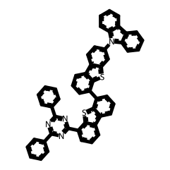 c1ccc(-c2nc(-c3ccccc3)nc(-c3cccc4c3sc3c(-c5cccc6c5sc5cc(-n7c8ccccc8c8ccccc87)ccc56)cccc34)n2)cc1